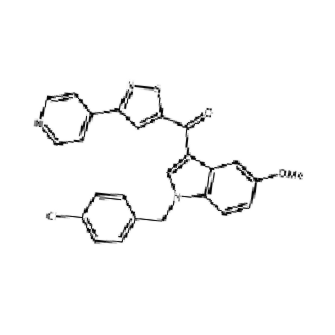 COc1ccc2c(c1)c(C(=O)c1cc(-c3ccncc3)ns1)cn2Cc1ccc(Cl)cc1